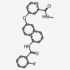 CNC(=O)c1cc(Oc2ccc3c(NC(=O)c4ccccc4F)cccc3c2)ccn1